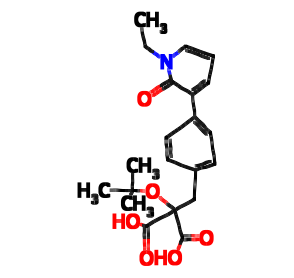 CCn1cccc(-c2ccc(CC(OC(C)(C)C)(C(=O)O)C(=O)O)cc2)c1=O